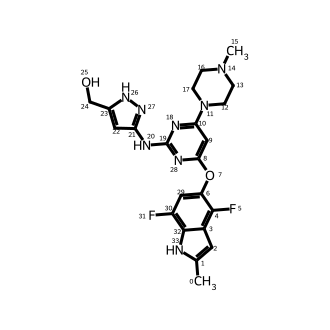 Cc1cc2c(F)c(Oc3cc(N4CCN(C)CC4)nc(Nc4cc(CO)[nH]n4)n3)cc(F)c2[nH]1